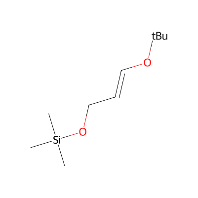 CC(C)(C)OC=CCO[Si](C)(C)C